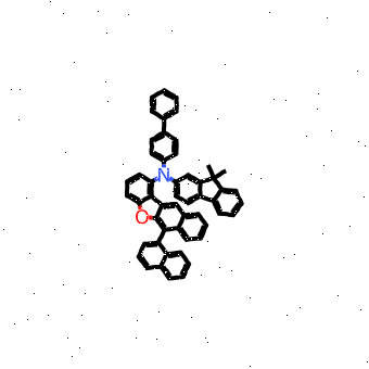 CC1(C)c2ccccc2-c2ccc(N(c3ccc(-c4ccccc4)cc3)c3cccc4oc5c(-c6cccc7ccccc67)c6ccccc6cc5c34)cc21